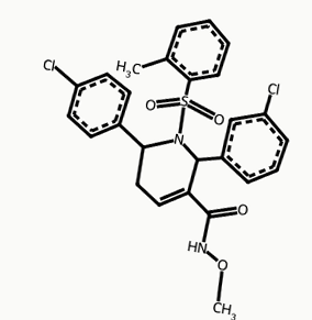 CONC(=O)C1=CCC(c2ccc(Cl)cc2)N(S(=O)(=O)c2ccccc2C)C1c1cccc(Cl)c1